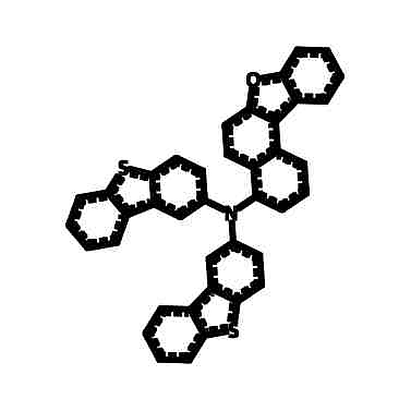 c1ccc2c(c1)oc1ccc3c(N(c4ccc5sc6ccccc6c5c4)c4ccc5sc6ccccc6c5c4)cccc3c12